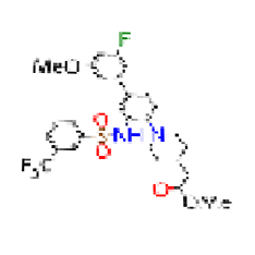 COC(=O)CC1CCN(c2ccc(-c3cc(F)cc(OC)c3)cc2NS(=O)(=O)c2cccc(C(F)(F)F)c2)CC1